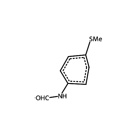 CSc1ccc(N[C]=O)cc1